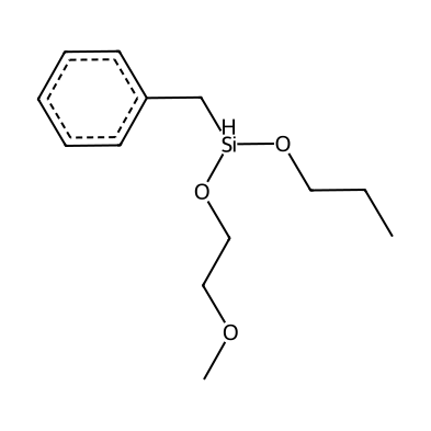 CCCO[SiH](Cc1ccccc1)OCCOC